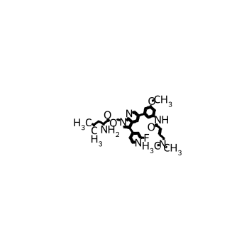 COc1cc(NC(=O)C=CCN(C)C)cc(-c2cnc3c(c2)c(-c2ccnc(F)c2)cn3COC(=O)C(N)CC(C)C)c1